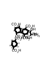 O=C(O)c1ccc(C(=O)O)cc1.O=C(O)c1ccc(C(=O)O)cc1.O=C(O)c1ccc(C(=O)O)cc1.OCCO.P.P